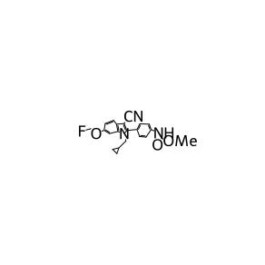 COC(=O)Nc1ccc(-c2c(C#N)c3ccc(OCF)cc3n2CC2CC2)cc1